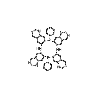 c1ccc(P2c3cc4ncncc4cc3Nc3cc4cncnc4cc3P(c3ccccc3)c3cc4ncncc4cc3Nc3cc4cncnc4cc32)cc1